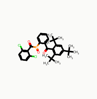 CC(C)(C)c1cc(C(C)(C)C)c(C(=O)c2ccccc2[P](=O)C(=O)c2c(Cl)cccc2Cl)c(C(C)(C)C)c1